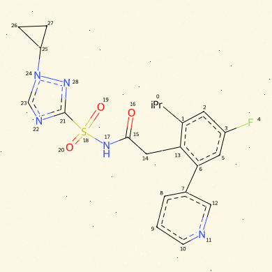 CC(C)c1cc(F)cc(-c2cccnc2)c1CC(=O)NS(=O)(=O)c1ncn(C2CC2)n1